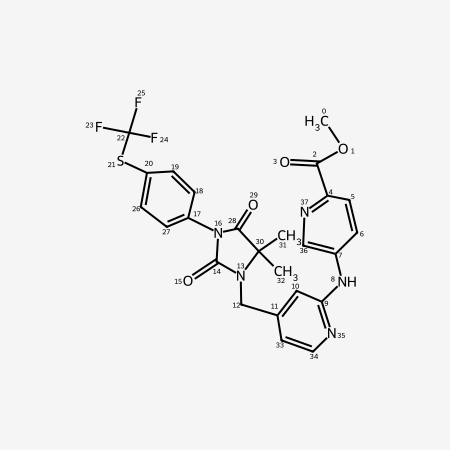 COC(=O)c1ccc(Nc2cc(CN3C(=O)N(c4ccc(SC(F)(F)F)cc4)C(=O)C3(C)C)ccn2)cn1